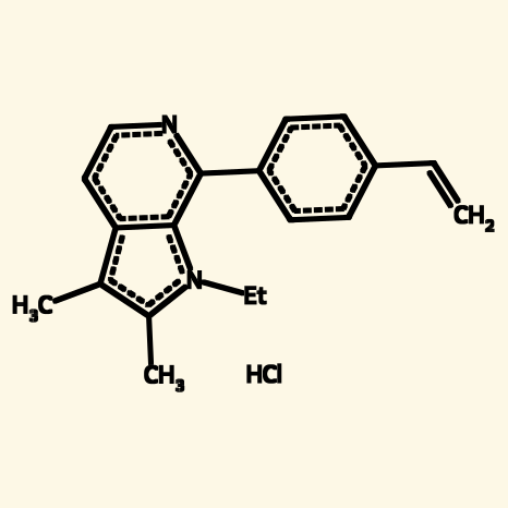 C=Cc1ccc(-c2nccc3c(C)c(C)n(CC)c23)cc1.Cl